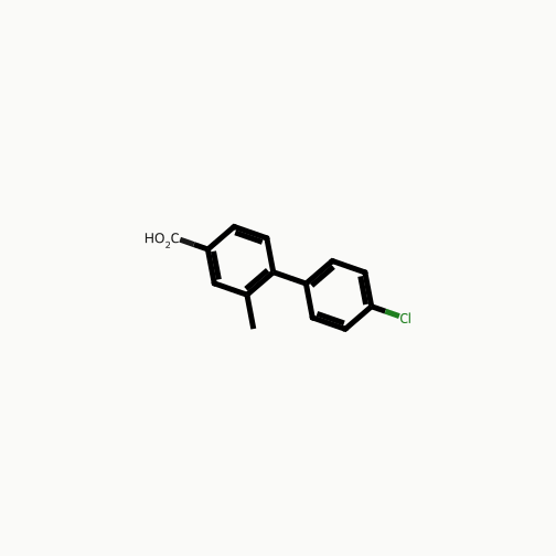 Cc1cc(C(=O)O)ccc1-c1ccc(Cl)cc1